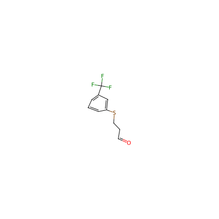 O=CCCSc1cccc(C(F)(F)F)c1